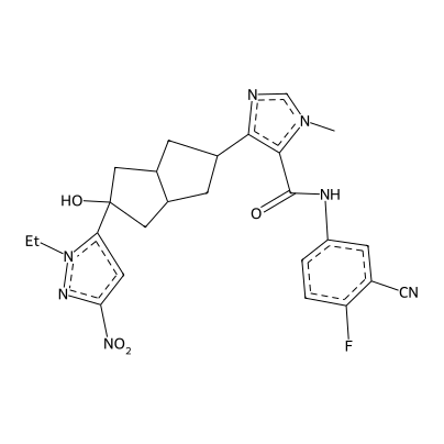 CCn1nc([N+](=O)[O-])cc1C1(O)CC2CC(c3ncn(C)c3C(=O)Nc3ccc(F)c(C#N)c3)CC2C1